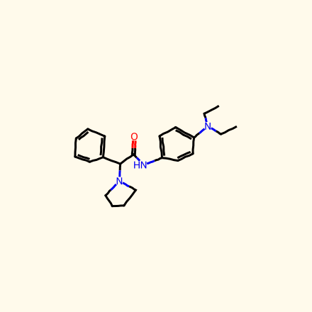 CCN(CC)c1ccc(NC(=O)C(c2ccccc2)N2CCCC2)cc1